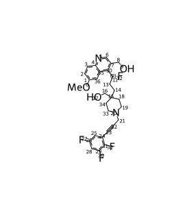 COc1ccc2ncc(CO)c([C@H](F)CCC3(CO)CCN(CC#Cc4cc(F)cc(F)c4F)CC3)c2c1